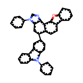 c1ccc(-n2cnc3c4c(ccc5c6ccccc6oc54)c(-c4ccc5c(c4)c4ccccc4n5-c4ccccc4)cc32)cc1